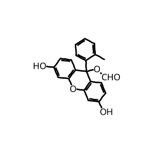 Cc1ccccc1C1(OC=O)c2ccc(O)cc2Oc2cc(O)ccc21